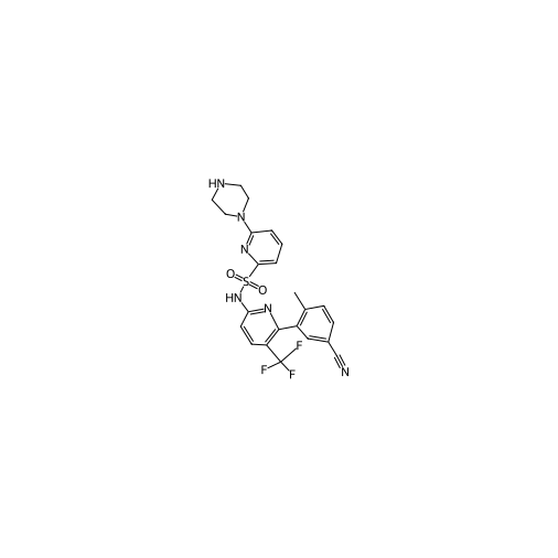 Cc1ccc(C#N)cc1-c1nc(NS(=O)(=O)c2cccc(N3CCNCC3)n2)ccc1C(F)(F)F